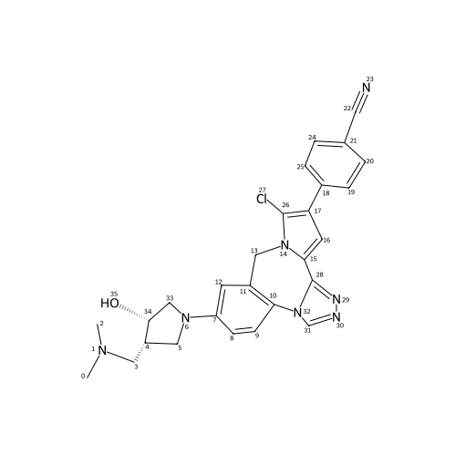 CN(C)C[C@H]1CN(c2ccc3c(c2)Cn2c(cc(-c4ccc(C#N)cc4)c2Cl)-c2nncn2-3)C[C@H]1O